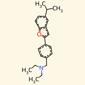 CCN(CC)Cc1ccc(-c2cc3cc(C(C)C)ccc3o2)cc1